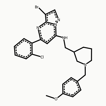 COc1ccc(CN2CCCC(CNc3cc(-c4ccccc4Cl)nc4c(Br)cnn34)C2)cc1